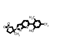 Cc1cc(C(F)(F)F)cc(O)c1-c1ccc2cn(C3(C)CCS(=O)(=O)C3)nc2n1